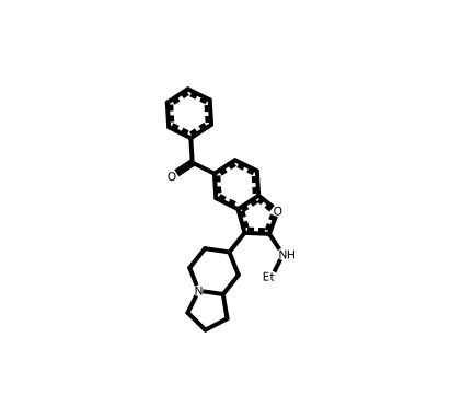 CCNc1oc2ccc(C(=O)c3ccccc3)cc2c1C1CCN2CCCC2C1